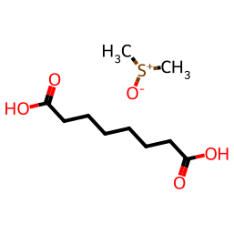 C[S+](C)[O-].O=C(O)CCCCCCC(=O)O